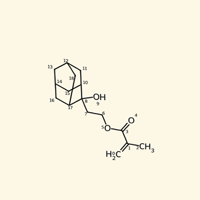 C=C(C)C(=O)OCCC1(O)C2CC3CC(C2)CC1C3